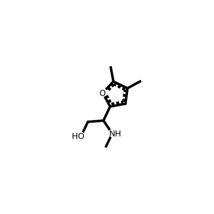 CNC(CO)c1cc(C)c(C)o1